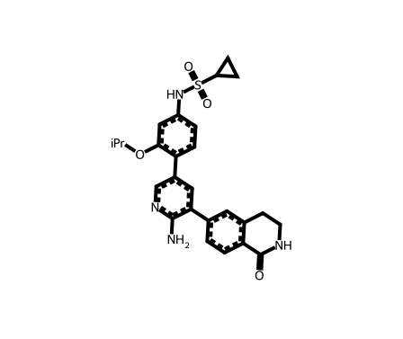 CC(C)Oc1cc(NS(=O)(=O)C2CC2)ccc1-c1cnc(N)c(-c2ccc3c(c2)CCNC3=O)c1